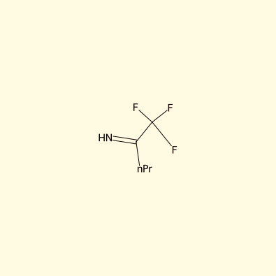 CCCC(=N)C(F)(F)F